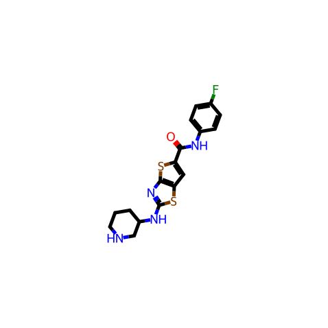 O=C(Nc1ccc(F)cc1)c1cc2sc(NC3CCCNC3)nc2s1